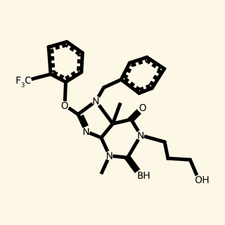 B=C1N(CCCO)C(=O)C2(C)C(N=C(Oc3ccccc3C(F)(F)F)N2Cc2ccccc2)N1C